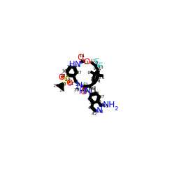 Cc1cc2cc(C)c1C(F)(F)COC(=O)Nc1ccc(S(=O)(=O)C3CC3)c(c1)CN(C)C(=O)[C@@H]2Nc1ccc2c(N)nccc2c1